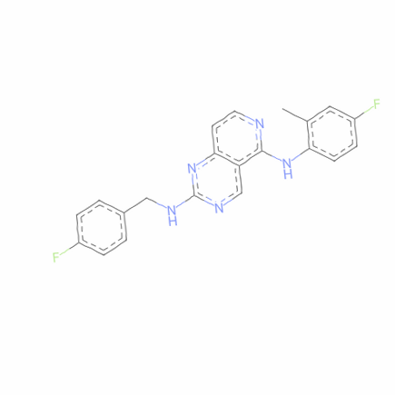 Cc1cc(F)ccc1Nc1nccc2nc(NCc3ccc(F)cc3)ncc12